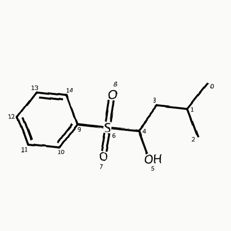 CC(C)CC(O)S(=O)(=O)c1ccccc1